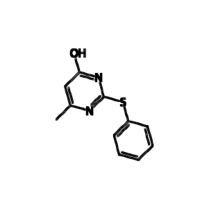 Cc1cc(O)nc(Sc2ccccc2)n1